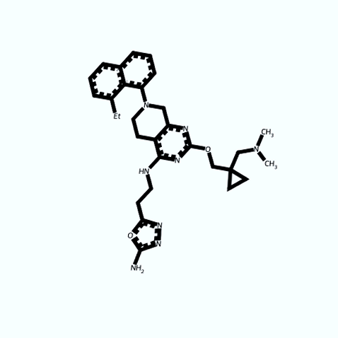 CCc1cccc2cccc(N3CCc4c(nc(OCC5(CN(C)C)CC5)nc4NCCc4nnc(N)o4)C3)c12